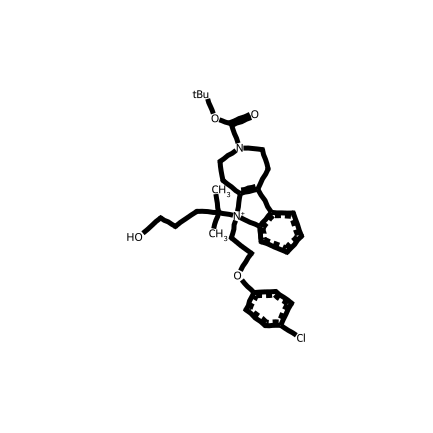 CC(C)(C)OC(=O)N1CCC2=C(CC1)[N+](CCOc1ccc(Cl)cc1)(C(C)(C)CCCO)c1ccccc12